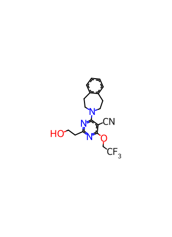 N#Cc1c(OCC(F)(F)F)nc(CCO)nc1N1CCc2ccccc2CC1